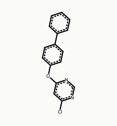 Clc1cc(Oc2ccc(-c3ccccc3)cc2)ncn1